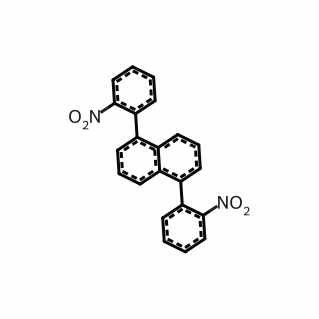 O=[N+]([O-])c1ccccc1-c1cccc2c(-c3ccccc3[N+](=O)[O-])cccc12